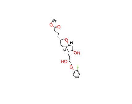 CC(C)OC(=O)CCC[C@H]1CC[C@@H]2[C@@H](C=C[C@@H](O)COc3ccccc3F)[C@H](O)C[C@@H]2OC1